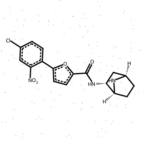 O=C(N[C@@H]1C[C@H]2CC[C@@H]1N2)c1ccc(-c2ccc(Cl)cc2[N+](=O)[O-])o1